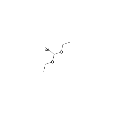 CCOC([Si])OCC